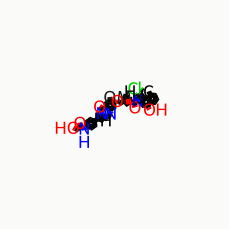 COc1cc2c(cc1OCC13CC(C1)C(C(=O)N1C[C@@H](CCl)c4c1cc(O)c1cccc(C)c41)C3)N=C[C@@H]1CC(c3ccc(NC(=O)CO)cc3)=CN1C2=O